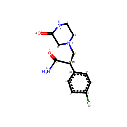 NC(=O)[C@@H](CN1CCNC(=O)C1)c1ccc(Cl)cc1